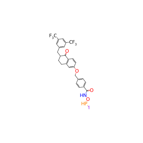 O=C(NOPI)c1ccc(COc2ccc3c(c2)CCC(Cc2cc(C(F)(F)F)cc(C(F)(F)F)c2)C3=O)cc1